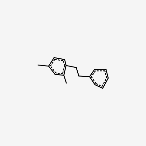 Cc1ccc(CCc2ccccc2)c(C)c1